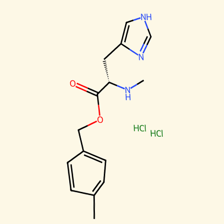 CN[C@@H](Cc1c[nH]cn1)C(=O)OCc1ccc(C)cc1.Cl.Cl